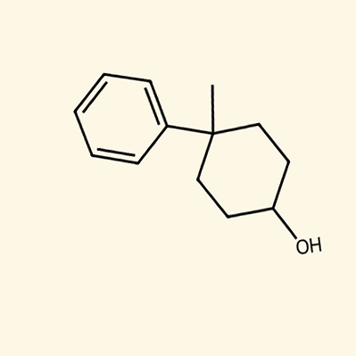 CC1(c2ccccc2)CCC(O)CC1